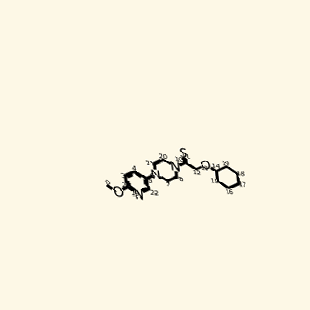 COc1ccc(N2CCN(C(=S)COC3CCCCC3)CC2)cn1